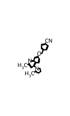 Cc1cc(N2CCC[C@H]2C)c2ccc(OCc3ccc(C#N)cc3)cc2n1